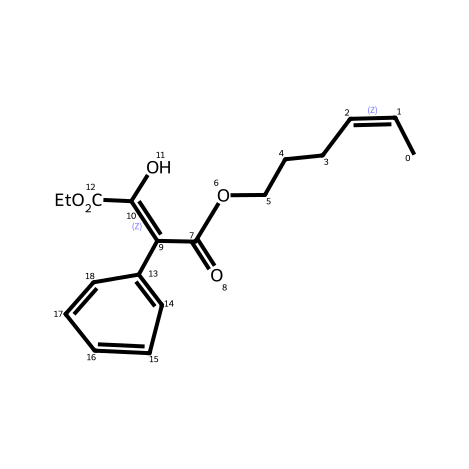 C/C=C\CCCOC(=O)/C(=C(\O)C(=O)OCC)c1ccccc1